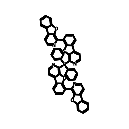 c1ccc([Si](c2ccccc2)(c2nccc3c2oc2c(-c4nccc5c4oc4ccccc45)cccc23)c2nccc3c2sc2c(-c4nccc5c4oc4ccccc45)cccc23)cc1